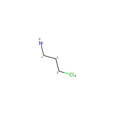 [N]CCCCl